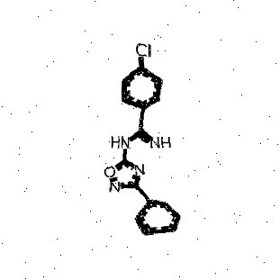 N=C(Nc1nc(-c2ccccc2)no1)c1ccc(Cl)cc1